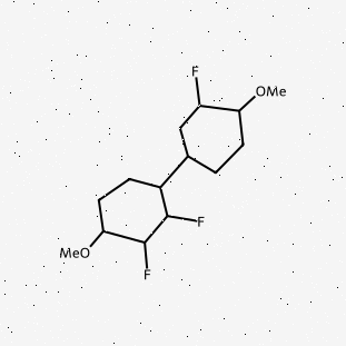 COC1CCC(C2CCC(OC)C(F)C2F)CC1F